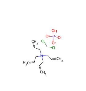 C=CC[N+](CC=C)(CC=C)CC=C.ClCCl.[O-][I+3]([O-])([O-])O